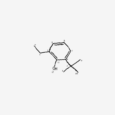 CCc1cccc(C(C)(C)C)c1O